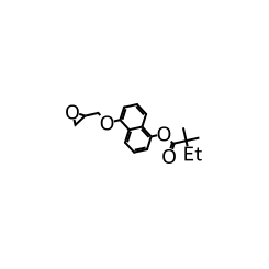 CCC(C)(C)C(=O)Oc1cccc2c(OCC3CO3)cccc12